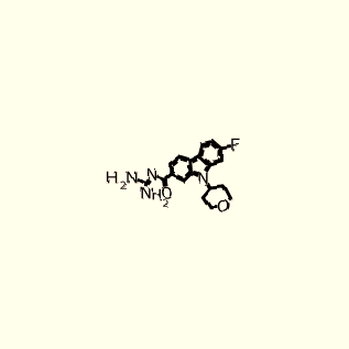 NC(N)=NC(=O)c1ccc2c3ccc(F)cc3n(C3CCOCC3)c2c1